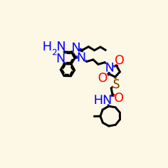 CCCCc1nc2c(N)nc3ccccc3c2n1CCCCN1C(=O)CC(SCC(=O)NC2CCCCCCC(C)C2)C1=O